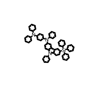 c1ccc(N(c2ccccc2)c2ccc(N(c3ccccc3)c3ccc4c(c3)c3cc([Si](c5ccccc5)(c5ccccc5)c5ccccc5)ccc3n4-c3ccccc3)cc2)cc1